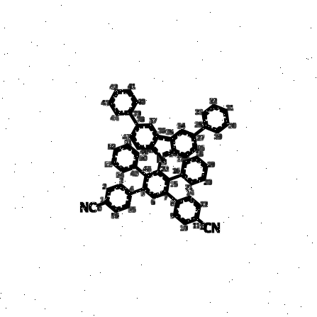 N#Cc1ccc(-c2cc(-c3ccc(C#N)cc3)c(-c3ccccc3)c(-n3c4ccc(-c5ccccc5)cc4c4cc(-c5ccccc5)ccc43)c2-c2ccccc2)cc1